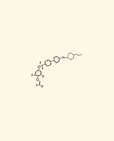 CCCC1CCC(/C=C/c2ccc(-c3ccc(C(F)(F)Oc4cc(F)c(OC=C(F)F)c(F)c4)cc3)cc2)CC1